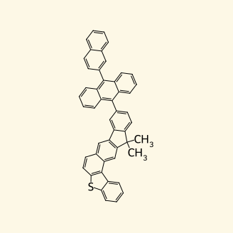 CC1(C)c2ccc(-c3c4ccccc4c(-c4ccc5ccccc5c4)c4ccccc34)cc2-c2cc3ccc4sc5ccccc5c4c3cc21